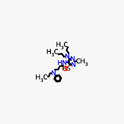 CCCCN(CCCC)c1nc(C)nc(S)c1NC(=O)CCCN(CCC)c1ccccc1